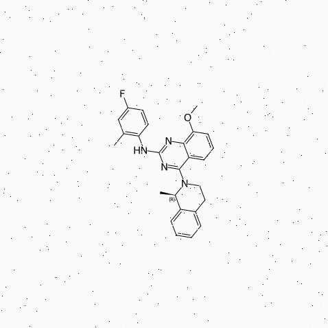 COc1cccc2c(N3CCc4ccccc4[C@H]3C)nc(Nc3ccc(F)cc3C)nc12